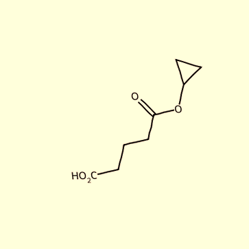 O=C(O)CCCC(=O)OC1CC1